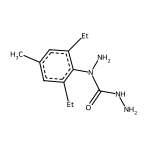 CCc1cc(C)cc(CC)c1N(N)C(=O)NN